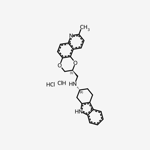 Cc1ccc2c3c(ccc2n1)OC[C@H](CN[C@@H]1CCc2c([nH]c4ccccc24)C1)O3.Cl.Cl